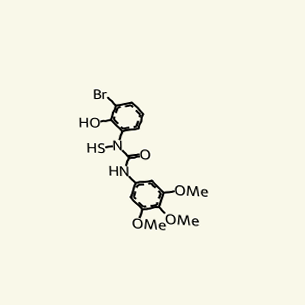 COc1cc(NC(=O)N(S)c2cccc(Br)c2O)cc(OC)c1OC